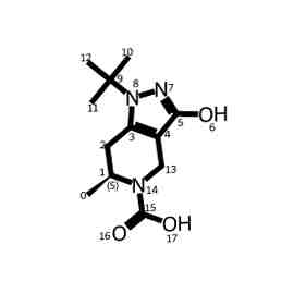 C[C@H]1Cc2c(c(O)nn2C(C)(C)C)CN1C(=O)O